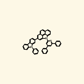 c1ccc(-c2cc(-c3ccccc3)nc(-n3c4cccc5ccc6cc(-c7ccc8c9ccccc9n(-c9ccccc9)c8c7)cc3c6c54)c2)cc1